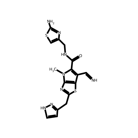 Cn1c(C(=O)NCc2csc(N)n2)c(C=N)c2sc(Cc3cc[nH]n3)nc21